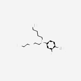 CCCCCN(CCOCCO)c1ccc(N)c(C)c1